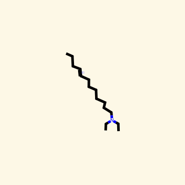 CCC/C=C/CCCCCCCN(CC)CC